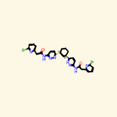 O=C(Cc1cccc(Br)n1)Nc1ccc([C@@H]2CCC[C@@H](c3ccc(NC(=O)Cc4cccc(Br)n4)nn3)C2)nn1